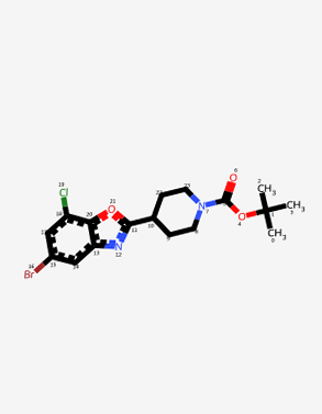 CC(C)(C)OC(=O)N1CCC(c2nc3cc(Br)cc(Cl)c3o2)CC1